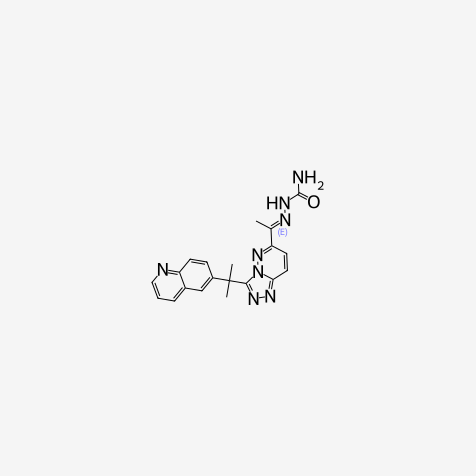 C/C(=N\NC(N)=O)c1ccc2nnc(C(C)(C)c3ccc4ncccc4c3)n2n1